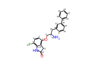 NC(COc1ccc(F)c2c1CC(=O)N2)Cc1cccc(-c2ccccc2)c1